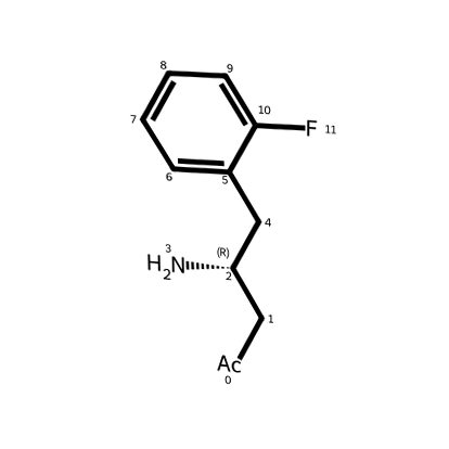 CC(=O)C[C@H](N)Cc1ccccc1F